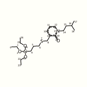 CCO[Si](CCCSCc1cccn(CCC(C)C)c1=O)(OCC)OCC